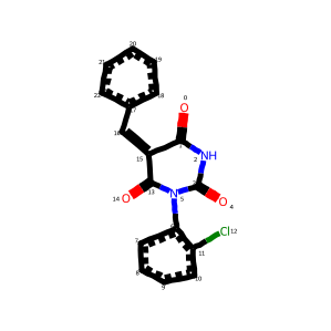 O=C1NC(=O)N(c2ccccc2Cl)C(=O)/C1=C/c1ccccc1